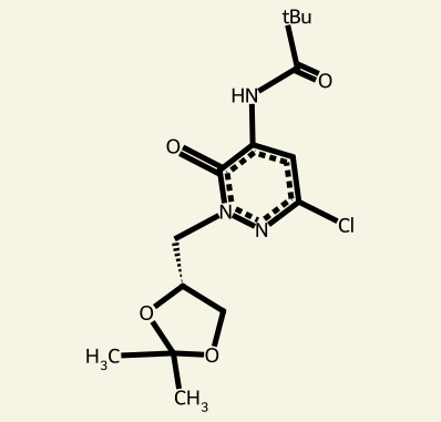 CC1(C)OC[C@@H](Cn2nc(Cl)cc(NC(=O)C(C)(C)C)c2=O)O1